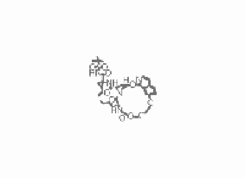 C=C[C@@H]1C[C@]1(NC(=O)[C@@H]1C[C@@H]2CN1C(=O)[C@H](CCCC)NC(=O)OCCCCCc1ccc3ccnc(c3c1)O2)C(=O)NS(=O)(=O)C(C)(C)C